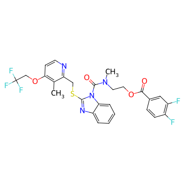 Cc1c(OCC(F)(F)F)ccnc1CSc1nc2ccccc2n1C(=O)N(C)CCOC(=O)c1ccc(F)c(F)c1